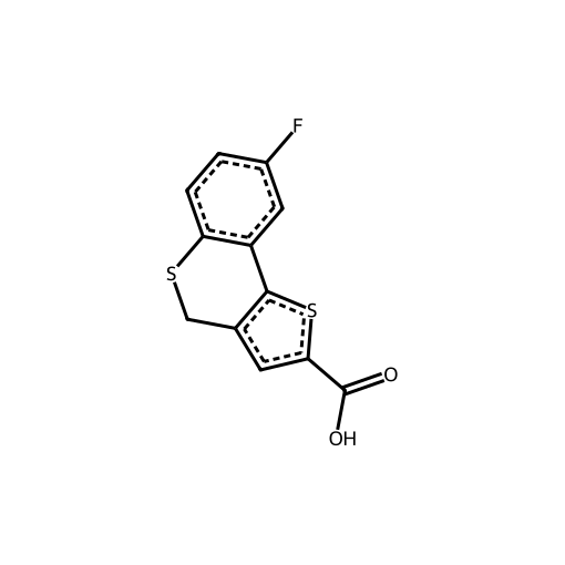 O=C(O)c1cc2c(s1)-c1cc(F)ccc1SC2